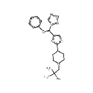 CC(=O)C(C)(C)CN1CCC(c2nc(C(Oc3ccccc3)n3cnnn3)cs2)CC1